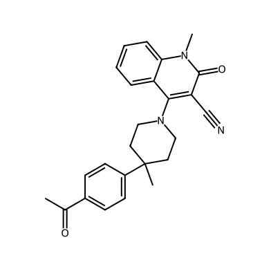 CC(=O)c1ccc(C2(C)CCN(c3c(C#N)c(=O)n(C)c4ccccc34)CC2)cc1